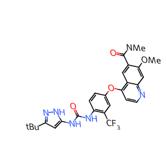 CNC(=O)c1cc2c(Oc3ccc(NC(=O)Nc4cc(C(C)(C)C)n[nH]4)c(C(F)(F)F)c3)ccnc2cc1OC